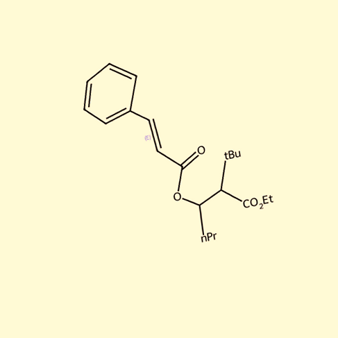 CCCC(OC(=O)/C=C/c1ccccc1)C(C(=O)OCC)C(C)(C)C